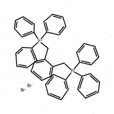 [Br-].[Br-].c1ccc([P+](Cc2ccccc2C[P+](c2ccccc2)(c2ccccc2)c2ccccc2)(c2ccccc2)c2ccccc2)cc1